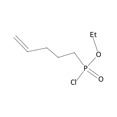 C=CCCCP(=O)(Cl)OCC